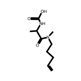 C=CCCCN(C)C(=O)C(C)NC(=O)O